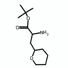 CC(C)(C)OC(=O)C(N)CC1CCCCO1